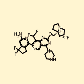 Nc1cc2c(c(-c3ncc4c(N5CCNCC5)nc(OC[C@@]56CCCN5C[C@H](F)C6)nc4c3C(F)F)n1)CCC2(F)F